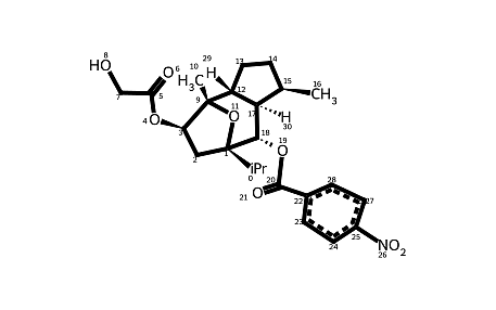 CC(C)[C@@]12C[C@@H](OC(=O)CO)[C@@](C)(O1)[C@@H]1CC[C@@H](C)[C@H]1[C@@H]2OC(=O)c1ccc([N+](=O)[O-])cc1